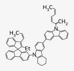 C=C(/C=C\C=C/C)n1c2ccccc2c2cc(-c3ccc4c(c3)c3c(n4-c4ccc5c(c4)C4(C(CC)=C(/C=C\C)c6ccccc64)c4ccccc4-5)CCCC3)ccc21